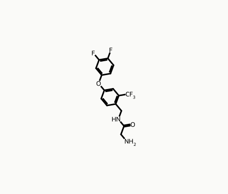 NCC(=O)NCc1ccc(Oc2ccc(F)c(F)c2)cc1C(F)(F)F